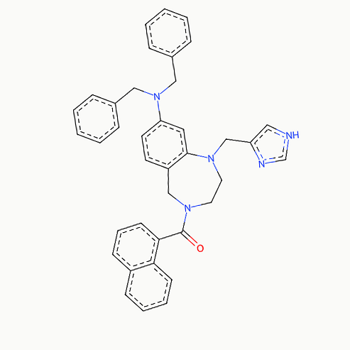 O=C(c1cccc2ccccc12)N1CCN(Cc2c[nH]cn2)c2cc(N(Cc3ccccc3)Cc3ccccc3)ccc2C1